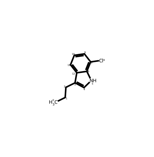 CC[CH]c1c[nH]c2c(Cl)cccc12